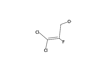 [O]CC(F)=C(Cl)Cl